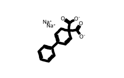 O=C([O-])C1(C(=O)[O-])C=CC(c2ccccc2)=CC1.[Na+].[Na+]